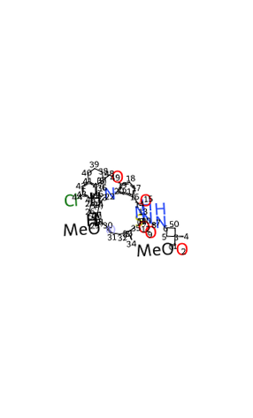 COC(=O)[C@]1(C)C[C@H](NC(=O)N[S@@]2(=O)=NC(=O)c3ccc4c(c3)N(C[C@@H]3CC[C@H]3[C@@H](OC)/C=C/C[C@H](C)C2)C[C@@]2(CCCc3cc(Cl)ccc32)CO4)C1